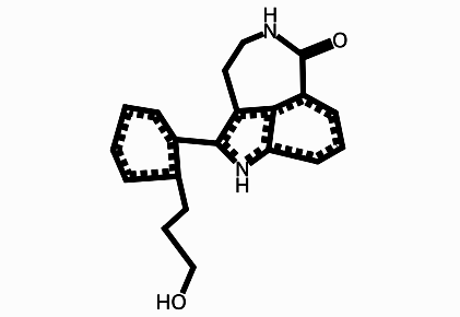 O=C1NCCc2c(-c3ccccc3CCCO)[nH]c3cccc1c23